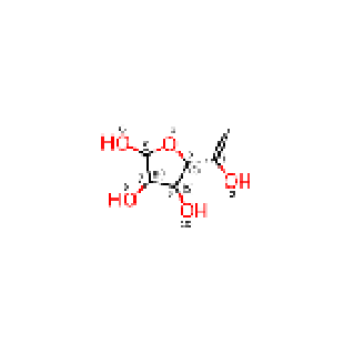 C=C(O)[C@H]1OC(O)[C@H](O)[C@@H]1O